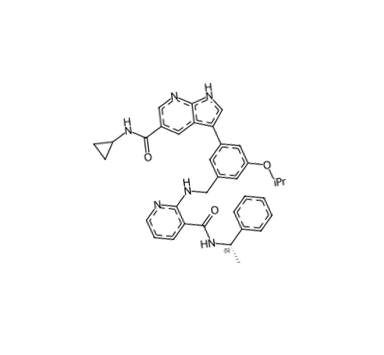 CC(C)Oc1cc(CNc2ncccc2C(=O)N[C@@H](C)c2ccccc2)cc(-c2c[nH]c3ncc(C(=O)NC4CC4)cc23)c1